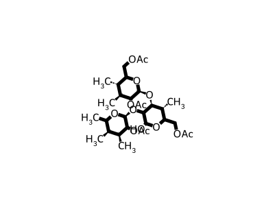 CC(=O)OCC1O[C@@H](O[C@H]2C(O[C@@H]3OC(C)[C@H](C)[C@H](C)C3OC(C)=O)C(O)OC(COC(C)=O)[C@H]2C)C(OC(C)=O)[C@@H](C)[C@@H]1C